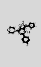 [2H]N1C(c2ccc(F)cc2)=NC(N2CCOCC2)=C2ONC(C3CCCC3)=C21